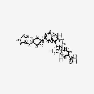 CC1(N2CCc3[nH]c4ccc(-c5ccc(CN6CCCC6)cc5)cc4c3C2)N=CC(C(=O)O)=CN1